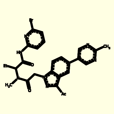 CCC(C(=O)Nc1cccc(Br)n1)N(C)C(=O)Cn1nc(C(C)=O)c2cc(-c3cnc(C)nc3)ccc21